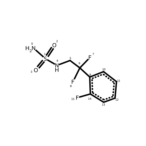 NS(=O)(=O)NCC(F)(F)c1ccccc1F